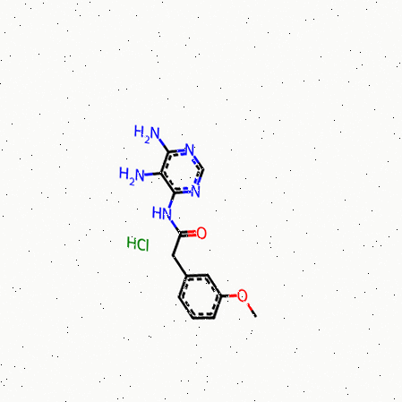 COc1cccc(CC(=O)Nc2ncnc(N)c2N)c1.Cl